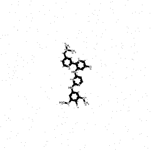 COc1cc(Nc2nccc(Nc3cc(Cl)cnc3-c3cc(CN(C)C)ccn3)n2)cc(OC)c1F